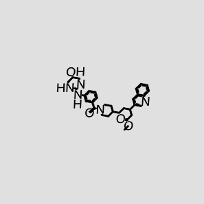 COC(=O)CC(CCC1CCN(C(=O)c2cccc(NC3=NCC(O)CN3)c2)CC1)c1cnc2ccccc2c1